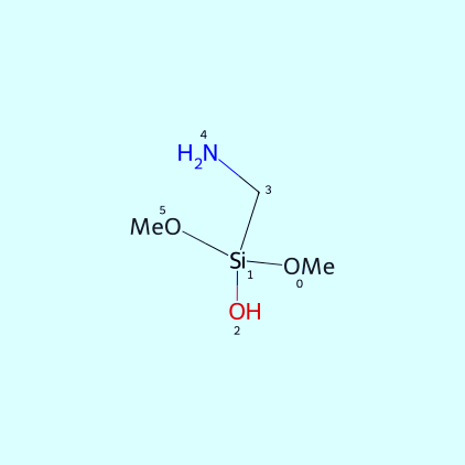 CO[Si](O)(CN)OC